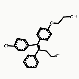 OCCOc1ccc(/C(=C(\CCCl)c2ccccc2)c2ccc(Cl)cc2)cc1